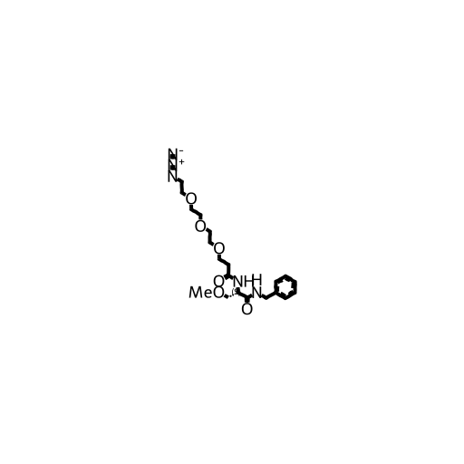 COC[C@H](NC(=O)CCOCCOCCOCCN=[N+]=[N-])C(=O)NCc1ccccc1